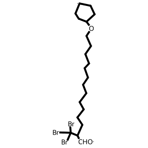 O=[C]C(CCCCCCCCCCCCOC1CC[CH]CC1)C(Br)(Br)Br